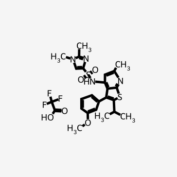 COc1cccc(-c2c(C(C)C)sc3nc(C)cc(NS(=O)(=O)c4cn(C)c(C)n4)c23)c1.O=C(O)C(F)(F)F